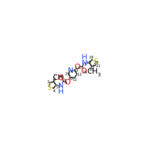 Cc1cscc1NC(=O)Oc1ccc(OC(=O)Nc2cscc2C)nc1